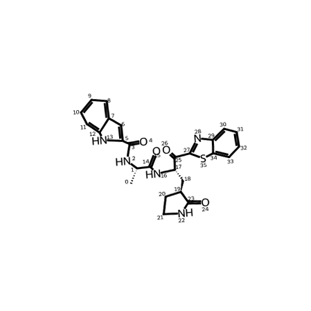 C[C@H](NC(=O)c1cc2ccccc2[nH]1)C(=O)N[C@@H](C[C@@H]1CCNC1=O)C(=O)c1nc2ccccc2s1